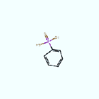 S=P(S)(S)c1ccccc1